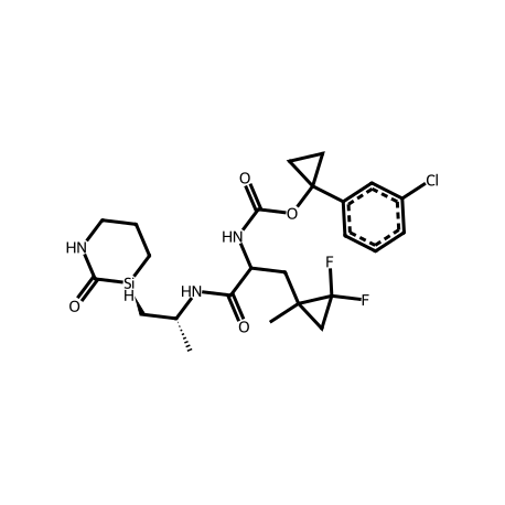 C[C@H](C[Si@@H]1CCCNC1=O)NC(=O)C(CC1(C)CC1(F)F)NC(=O)OC1(c2cccc(Cl)c2)CC1